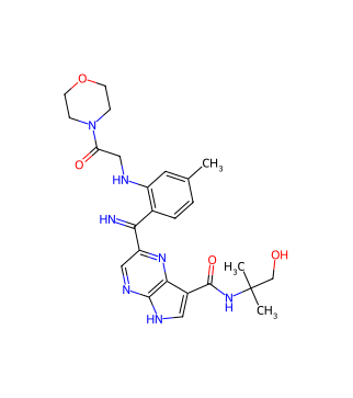 Cc1ccc(C(=N)c2cnc3[nH]cc(C(=O)NC(C)(C)CO)c3n2)c(NCC(=O)N2CCOCC2)c1